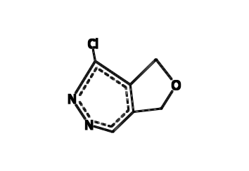 Clc1nncc2c1COC2